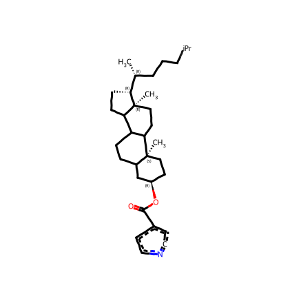 CC(C)CCC[C@@H](C)[C@H]1CCC2C3CCC4C[C@H](OC(=O)c5ccncc5)CC[C@]4(C)C3CC[C@@]21C